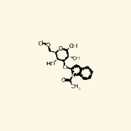 CC(=O)n1c(O[C@@H]2[C@@H](O)[C@H](O)O[C@H](COCl)[C@H]2O)cc2ccccc21